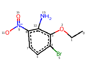 CCOc1c(Br)ccc([N+](=O)[O-])c1N